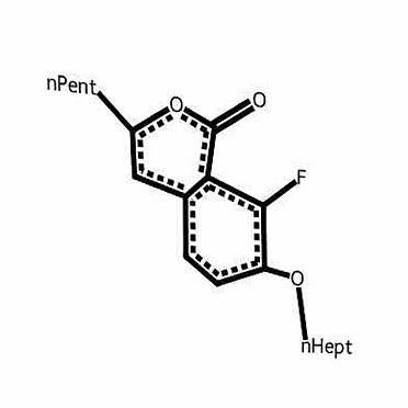 CCCCCCCOc1ccc2cc(CCCCC)oc(=O)c2c1F